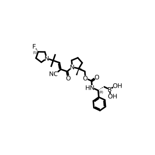 CC(C)(C=C(C#N)C(=O)N1CCC[C@]1(C)COC(=O)N[C@H](CB(O)O)c1ccccc1)N1CC[C@H](F)C1